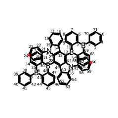 c1ccc(B2c3ccccc3B(c3c4c5ccccc5n(-c5ccccc5)c4c(B4c5ccccc5B(c5ccccc5)c5ccccc54)c4c5ccccc5n(-c5ccccc5)c34)c3ccccc32)cc1